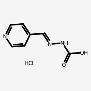 Cl.O=C(O)N/N=C/c1ccncc1